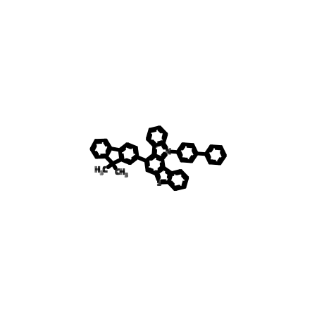 CC1(C)c2ccccc2-c2ccc(-c3cc4sc5ccccc5c4c4c3c3ccccc3n4-c3ccc(-c4ccccc4)cc3)cc21